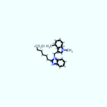 CCOC(=O)CCCCCc1nc2ccccc2n1Cc1cn(C)c2cccc(C)c12